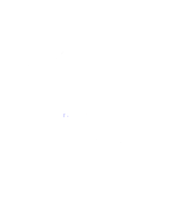 CCS(=O)(=O)c1ccc(CC(=O)Nc2ccc(-c3cccc(F)c3C(F)(F)F)c(Cl)c2)cc1